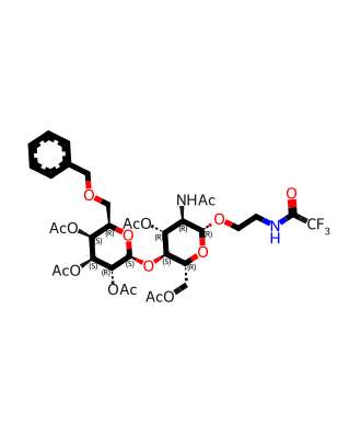 CC(=O)N[C@H]1[C@H](OCCNC(=O)C(F)(F)F)O[C@H](COC(C)=O)[C@@H](O[C@@H]2O[C@H](COCc3ccccc3)[C@H](OC(C)=O)[C@H](OC(C)=O)[C@H]2OC(C)=O)[C@@H]1OC(C)=O